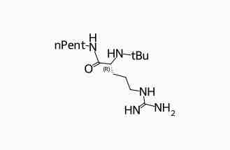 CCCCCNC(=O)[C@@H](CCCNC(=N)N)NC(C)(C)C